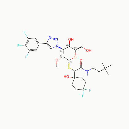 CO[C@@H]1[C@@H](n2cc(-c3cc(F)c(F)c(F)c3)nn2)[C@@H](O)[C@@H](CO)O[C@H]1SC(C(=O)NCCC(C)(C)C)C1(O)CCC(F)(F)CC1